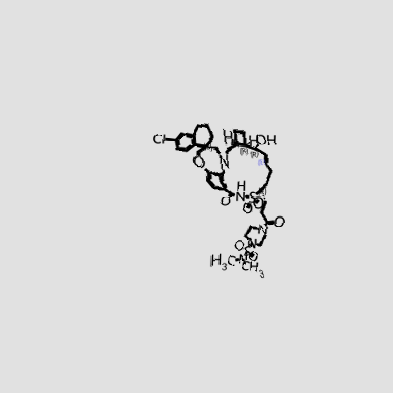 CN(C)S(=O)(=O)N1CCN(C(=O)CC[C@H]2CC/C=C/[C@H](O)[C@@H]3CC[C@H]3CN3C[C@@]4(CCCc5cc(Cl)ccc54)COc4ccc(cc43)C(=O)NS2(=O)=O)CC1